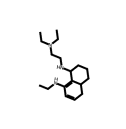 CCNC1=C2C(CC=C1)CCCC2NCCN(CC)CC